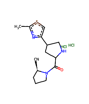 Cc1nc(C2CNC(C(=O)N3CCC[C@H]3C#N)C2)cs1.Cl.Cl